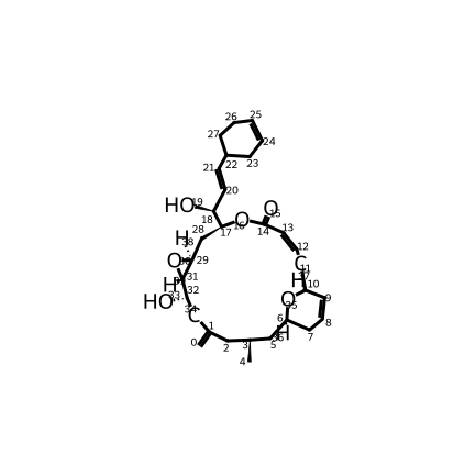 C=C1C[C@H](C)C[C@@H]2CC=C[C@@H](C/C=C\C(=O)O[C@H]([C@@H](O)/C=C/C3CC=CCC3)C[C@@H]3O[C@H]3[C@@H](O)C1)O2